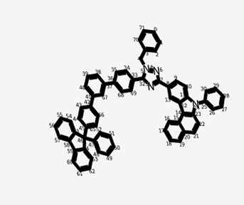 c1ccc(C[N+]2=NC(c3ccc4c(c3)c3c5ccccc5ccc3n4-c3ccccc3)=NC2c2ccc(-c3cccc(-c4ccc(C5(c6ccccc6)c6ccccc6-c6ccccc65)cc4)c3)cc2)cc1